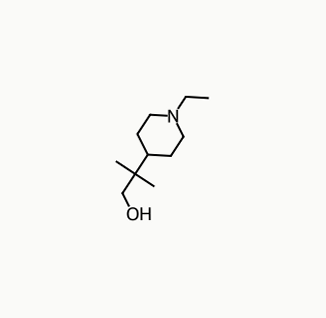 CCN1CCC(C(C)(C)CO)CC1